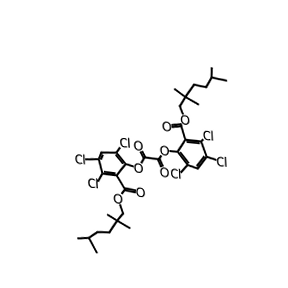 CC(C)CCC(C)(C)COC(=O)c1c(Cl)c(Cl)cc(Cl)c1OC(=O)C(=O)Oc1c(Cl)cc(Cl)c(Cl)c1C(=O)OCC(C)(C)CCC(C)C